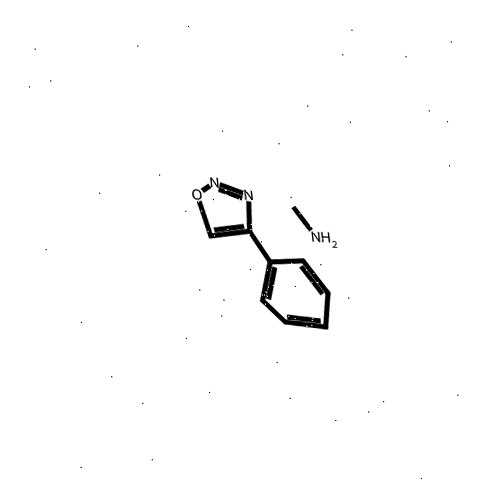 CN.c1ccc(-c2conn2)cc1